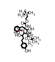 CC(O)C(Cc1ccccc1)(NC(=O)OCC[Si](C)(C)C)N(C(=O)O)C(NC(=O)OC(C)(C)C)C(O)CCc1ccc(O)cc1